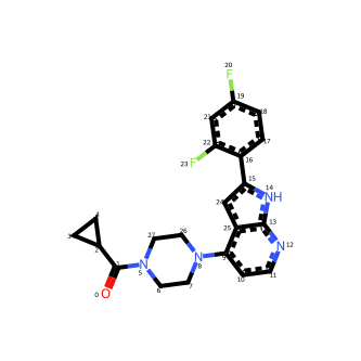 O=C(C1CC1)N1CCN(c2ccnc3[nH]c(-c4ccc(F)cc4F)cc23)CC1